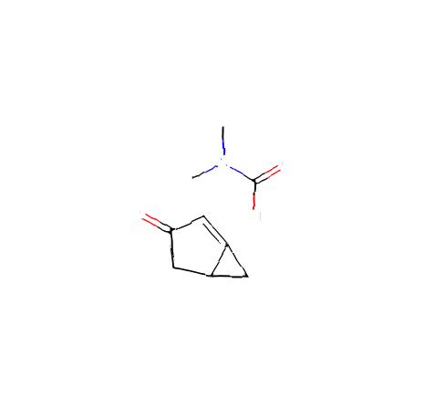 CN(C)C(=O)O.O=C1C=C2CC2C1